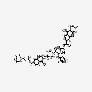 O=C(CCN1CCOCC1)Nc1ccc2c(=O)n(CC3(O)CCN(C(=O)[C@H](Cc4c[nH]cn4)NC(=O)CNC(=O)c4ccc5c(Cl)c6c(nc5c4)CCCC6)CC3)cnc2c1